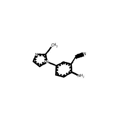 Cc1nccn1-c1ccc(N)c(C#N)c1